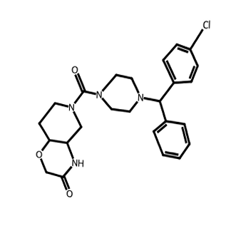 O=C1COC2CCN(C(=O)N3CCN(C(c4ccccc4)c4ccc(Cl)cc4)CC3)CC2N1